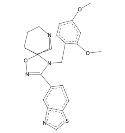 COc1ccc(CN2C(c3ccc4scnc4c3)=NOC23CN2CCC3CC2)c(OC)c1